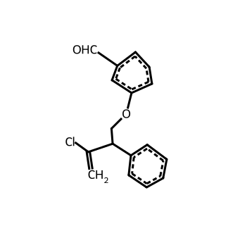 C=C(Cl)C(COc1cccc(C=O)c1)c1ccccc1